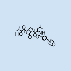 CC(C)CC(NC(=O)c1ccc(N2CCOCC2)cc1)C(=O)N1CCC2C1C(=O)CN2C(=O)C(O)C(C)C